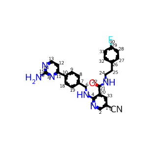 N#Cc1cnc(NCc2ccc(-c3ccnc(N)n3)cc2)c(C(=O)NCCc2ccc(F)cc2)c1